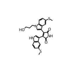 CSc1ccc2[nH]cc(C3=C(c4cn(CCCO)c5ccc(SC)cc45)C(=O)NC3=O)c2c1